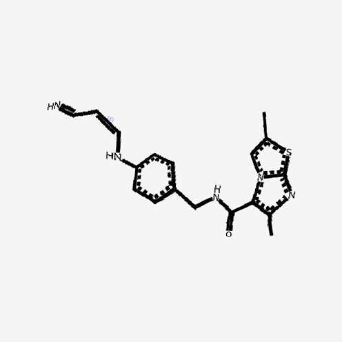 Cc1cn2c(C(=O)NCc3ccc(N/C=C\C=N)cc3)c(C)nc2s1